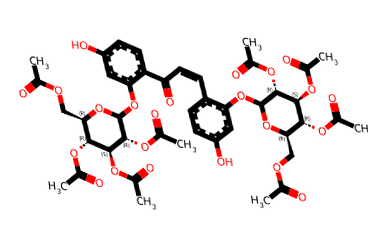 CC(=O)OC[C@H]1OC(Oc2cc(O)ccc2C=CC(=O)c2ccc(O)cc2OC2O[C@H](COC(C)=O)[C@@H](OC(C)=O)[C@H](OC(C)=O)[C@H]2OC(C)=O)[C@H](OC(C)=O)[C@@H](OC(C)=O)[C@@H]1OC(C)=O